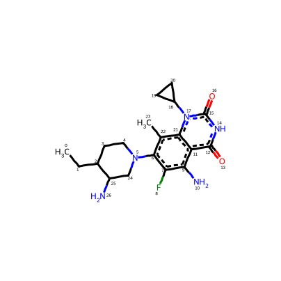 CCC1CCN(c2c(F)c(N)c3c(=O)[nH]c(=O)n(C4CC4)c3c2C)CC1N